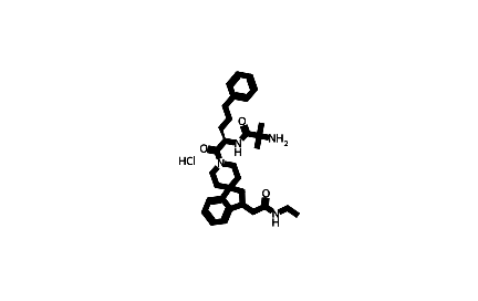 CCNC(=O)CC1CC2(CCN(C(=O)[C@@H](CCCc3ccccc3)NC(=O)C(C)(C)N)CC2)c2ccccc21.Cl